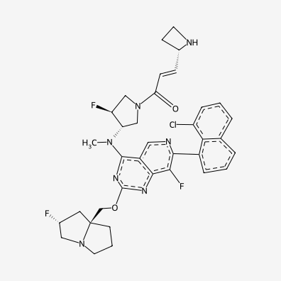 CN(c1nc(OC[C@@]23CCCN2C[C@H](F)C3)nc2c(F)c(-c3cccc4cccc(Cl)c34)ncc12)[C@H]1CN(C(=O)/C=C/[C@@H]2CCN2)C[C@@H]1F